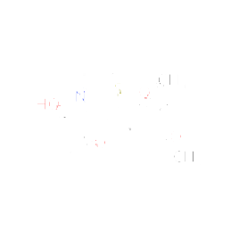 COc1ccc(C2CC(C3=C(O)CCCC3=O)=NCCS2)c(OC)c1